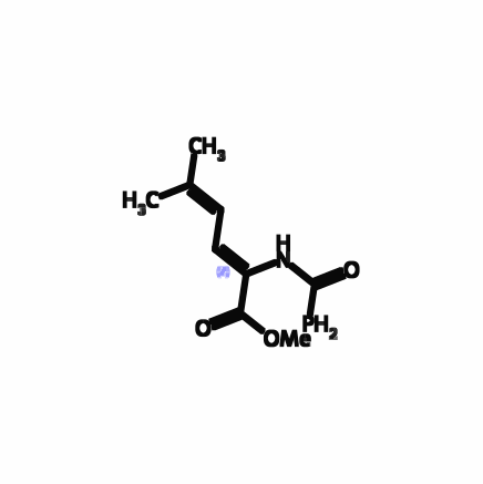 COC(=O)/C(=C/C=C(C)C)NC(=O)P